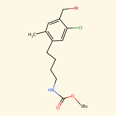 Cc1cc(CBr)c(Cl)cc1CCCCNC(=O)OC(C)(C)C